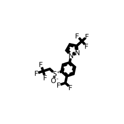 [O-][S+](CC(F)(F)F)c1cc(-n2ccc(C(F)(F)F)n2)ccc1C(F)F